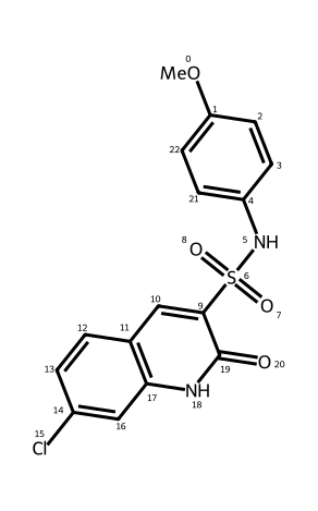 COc1ccc(NS(=O)(=O)c2cc3ccc(Cl)cc3[nH]c2=O)cc1